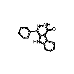 O=c1[nH]nc(-c2ccccc2)c2[nH]c3ccccc3c12